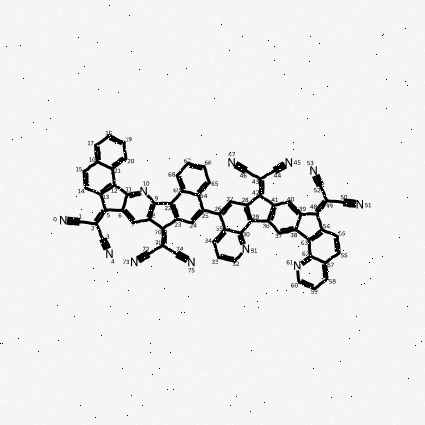 N#CC(C#N)=C1c2cc3c(nc2-c2c1ccc1ccccc21)-c1c(cc(-c2cc4c(c5ncccc25)-c2cc5c(cc2C4=C(C#N)C#N)C(=C(C#N)C#N)c2ccc4cccnc4c2-5)c2ccccc12)C3=C(C#N)C#N